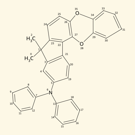 CC1(C)c2cc(N(c3ccccc3)c3ccccc3)ccc2-c2c1ccc1c2Oc2ccccc2O1